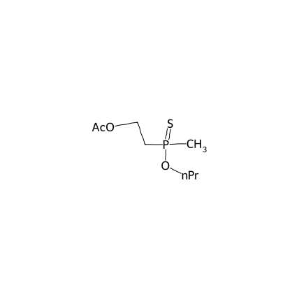 CCCOP(C)(=S)CCOC(C)=O